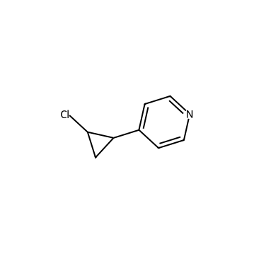 ClC1CC1c1ccncc1